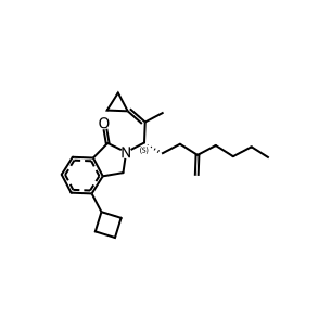 C=C(CCCC)CC[C@@H](C(C)=C1CC1)N1Cc2c(cccc2C2CCC2)C1=O